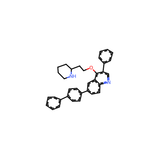 c1ccc(-c2ccc(-c3ccc4ncc(-c5ccccc5)c(OCCC5CCCCN5)c4c3)cc2)cc1